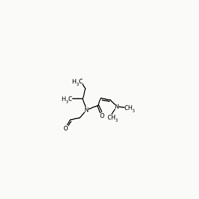 CCC(C)N(CC=O)C(=O)/C=C\N(C)C